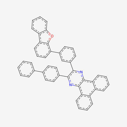 c1ccc(-c2ccc(-c3nc4c5ccccc5c5ccccc5c4nc3-c3cccc(-c4cccc5c4oc4ccccc45)c3)cc2)cc1